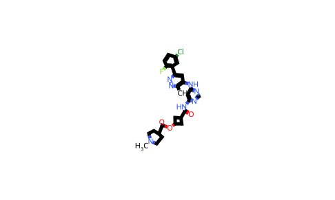 Cc1nnc(-c2cc(Cl)ccc2F)cc1Nc1cc(NC(=O)C2CC(OC(=O)C3CCN(C)CC3)C2)ncn1